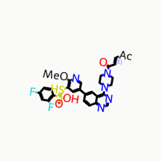 COc1ncc(-c2ccc3ncnc(N4CCN(C(=O)/C=C/C(C)=O)CC4)c3c2)cc1[SH]=S(=O)(O)c1ccc(F)cc1F